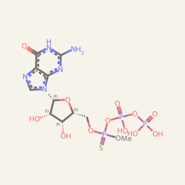 COP(=S)(OC[C@H]1O[C@@H](n2cnc3c(=O)[nH]c(N)nc32)[C@@H](O)[C@H]1O)OP(=O)(O)OP(=O)(O)O